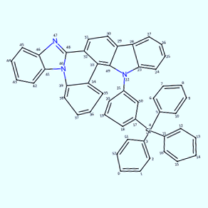 c1ccc([Si](c2ccccc2)(c2ccccc2)c2cccc(-n3c4ccccc4c4ccc5c(c6ccccc6n6c7ccccc7nc56)c43)c2)cc1